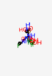 CC(CNCCC(=O)NCCc1cccc(F)c1)NCCc1ccc(O)c2[nH]c(=O)sc12.O=C(O)C(F)(F)F.O=C(O)C(F)(F)F